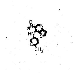 [CH2]C1C=C[C@H](Nc2c([N+](=O)[O-])cnc3ccsc23)CO1